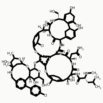 CN[C@H](CC(C)C)C(=O)N[C@H]1C(=O)N[C@@H](CC(N)=O)C(=O)N[C@H]2C(=S)N[C@H]3C(=O)N[C@H](C(=O)N[C@H](CO)C4=CC(O)CC(O)=C4C4CC3=CC=C4O)[C@H](O)C3=CC=C(Oc4cc2cc(c4O[C@H]2OC(CO)C(O)[C@@H]4c5cc(ccc5-c5ccc(Cl)cc5)CNC5(C)C[C@H](OC24)OC(C)[C@H]5O)OC2=C(Cl)C=C(CC2)[C@H]1O)C(Cl)C3